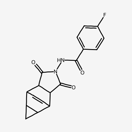 O=C(NN1C(=O)C2C3C=CC(C4CC34)C2C1=O)c1ccc(F)cc1